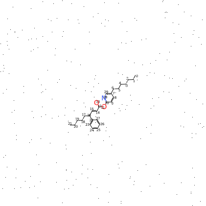 CCCCCCCc1ccc(OC(=O)/C=C/C(CCCCC)c2ccccc2)nc1